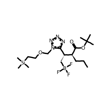 CCC[C@H](C(=O)OC(C)(C)C)[C@H](C[B-](F)(F)F)c1nnnn1COCC[Si](C)(C)C